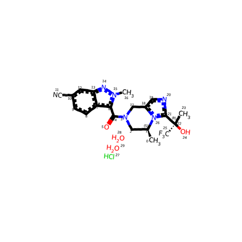 C[C@H]1CN(C(=O)c2c3ccc(C#N)cc3nn2C)Cc2cnc([C@@](C)(O)C(F)(F)F)n21.Cl.O.O